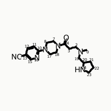 CN(CCC(=O)N1CCN(c2ccc(C#N)cn2)CC1)CC1CCCN1